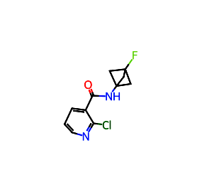 O=C(NC12CC(F)(C1)C2)c1cccnc1Cl